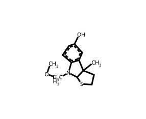 CN1c2ccc(O)cc2C2(C)CCSC12.COC